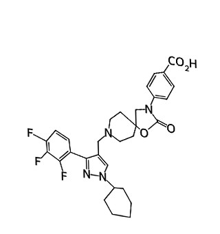 O=C(O)c1ccc(N2CC3(CCN(Cc4cn(C5CCCCC5)nc4-c4ccc(F)c(F)c4F)CC3)OC2=O)cc1